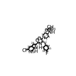 CS(=O)(=O)NC1CCN(C(=O)[C@H](Cc2ccc(F)cc2)NC(=O)c2cc3cc(Cl)ncc3[nH]2)CC1